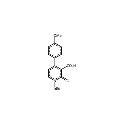 CCCCn1ccc(-c2ccc(OC)cc2)c(C(=O)O)c1=O